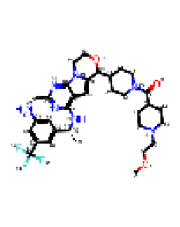 COCCN1CCC(C(=O)N2CCC(C3OCCn4c3cc3c(N[C@H](C)c5cc(N)cc(C(F)(F)F)c5)nc(C)nc34)CC2)CC1